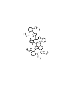 Cc1cccc(C)c1-c1ccc(-c2c(Oc3ccccc3)c(Oc3ccc(C(=O)O)cc3)c(-c3ccc(-c4c(C)cccc4C)s3)c3nsnc23)s1